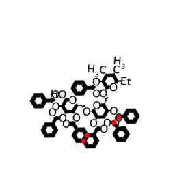 CC[C@H]1O[C@@H](OC[C@H]2O[C@@H](OC[C@H]3OC(O)[C@H](OC(=O)c4ccccc4)[C@@H](OC(=O)c4ccccc4)[C@@H]3OC(=O)c3ccccc3)[C@H](OC(=O)c3ccccc3)[C@@H](OC(=O)c3ccccc3)[C@@H]2OC(=O)c2ccccc2)[C@H](OC(=O)c2ccccc2)[C@@H](C)[C@@H]1C